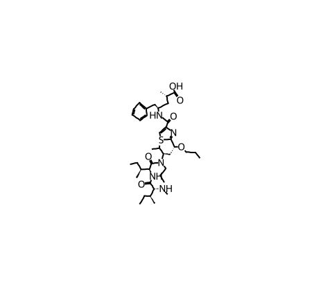 CCCO[C@H](C[C@H](C(C)C)N(CCC)C(=O)[C@@H](NC(=O)[C@H](NC)[C@@H](C)CC)[C@@H](C)CC)c1nc(C(=O)N[C@@H](Cc2ccccc2)C[C@H](C)C(=O)O)cs1